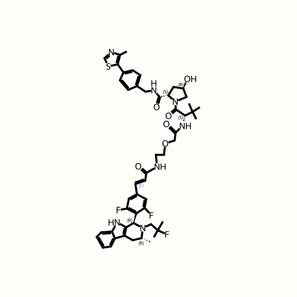 Cc1ncsc1-c1ccc(CNC(=O)[C@@H]2C[C@@H](O)CN2C(=O)[C@@H](NC(=O)COCCNC(=O)/C=C/c2cc(F)c([C@@H]3c4[nH]c5ccccc5c4C[C@@H](C)N3CC(C)(C)F)c(F)c2)C(C)(C)C)cc1